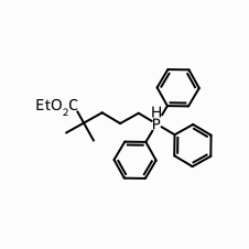 CCOC(=O)C(C)(C)CCC[PH](c1ccccc1)(c1ccccc1)c1ccccc1